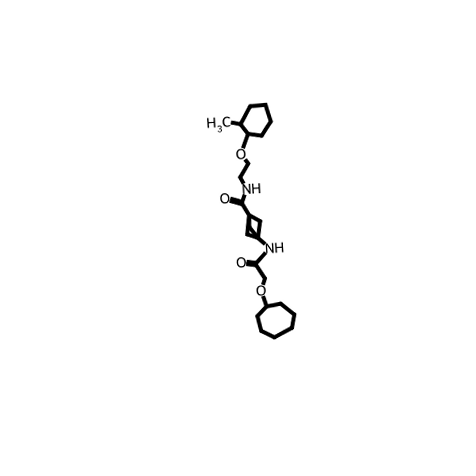 CC1CCCCC1OCCNC(=O)C12CC(NC(=O)COC3CCCCCC3)(C1)C2